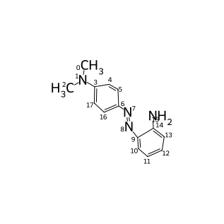 CN(C)c1ccc(/N=N/c2ccccc2N)cc1